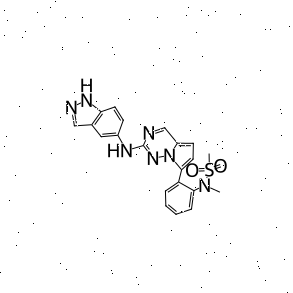 CN(c1ccccc1-c1ccc2cnc(Nc3ccc4[nH]ncc4c3)nn12)S(C)(=O)=O